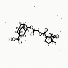 CC12CCC(C(=O)OCC(=O)OC3C4CC5CC3CC(C(=O)O)(C5)C4)(OC1=O)C2(C)C